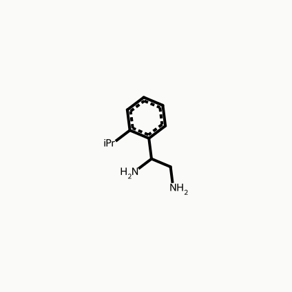 CC(C)c1ccccc1C(N)CN